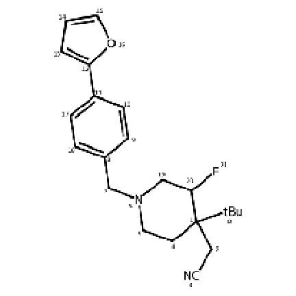 CC(C)(C)C1(CC#N)CCN(Cc2ccc(-c3ccco3)cc2)CC1F